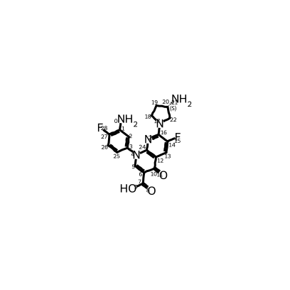 Nc1cc(-n2cc(C(=O)O)c(=O)c3cc(F)c(N4CC[C@H](N)C4)nc32)ccc1F